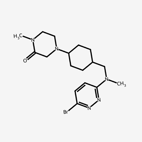 CN1CCN(C2CCC(CN(C)c3ccc(Br)nn3)CC2)CC1=O